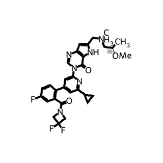 CO[C@@H](C)CN(C)Cc1cc2ncn(-c3cc(-c4ccc(F)cc4C(=O)N4CC(F)(F)C4)cc(C4CC4)n3)c(=O)c2[nH]1